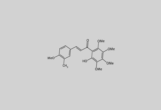 COc1ccc(/C=C/C(=O)c2c(O)c(OC)c(OC)c(OC)c2OC)cc1C